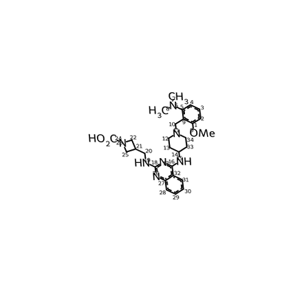 COc1cccc(N(C)C)c1CN1CCC(Nc2nc(NCC3CN(C(=O)O)C3)nc3ccccc23)CC1